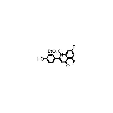 CCOC(=O)n1c(-c2ccc(O)cc2)cc(=O)c2c(F)cc(F)cc21